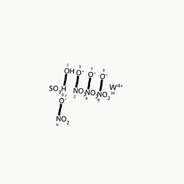 O=S(=O)(O)O.O=[N+]([O-])[O-].O=[N+]([O-])[O-].O=[N+]([O-])[O-].O=[N+]([O-])[O-].[W+4]